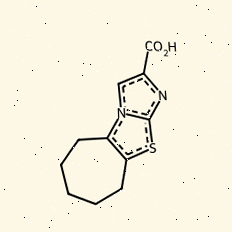 O=C(O)c1cn2c3c(sc2n1)CCCCC3